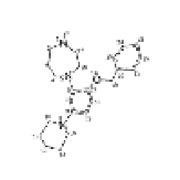 CN1CCCN(c2cc(N3CCCCC3)ccc2OCc2ccccc2)CC1